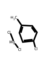 [CH2]c1ccc(Cl)cc1.[Cl][Mg][Cl]